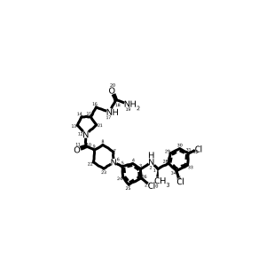 C[C@@H](Nc1cc(N2CCC(C(=O)N3CCC(CNC(N)=O)C3)CC2)ccc1Cl)c1ccc(Cl)cc1Cl